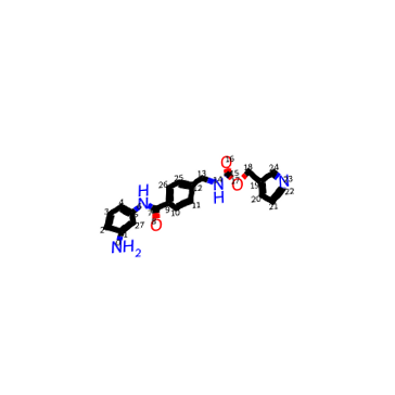 Nc1cccc(NC(=O)c2ccc(CNC(=O)OCc3cccnc3)cc2)c1